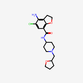 Nc1c(Cl)cc(C(=O)NC2CCN(CC3CCCO3)CC2)c2c1CCO2